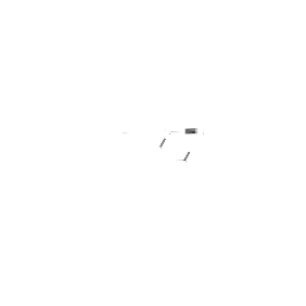 CCOC(CC(=O)O)=NC#N